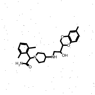 Cc1ccc2c(c1)OCC(C(O)CNC1CCN(C(C(N)=O)c3c(C)cccc3C)CC1)O2